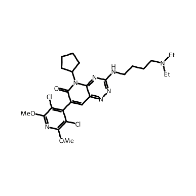 CCN(CC)CCCCNc1nnc2cc(-c3c(Cl)c(OC)nc(OC)c3Cl)c(=O)n(C3CCCC3)c2n1